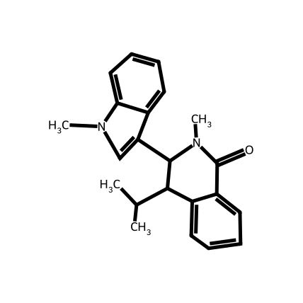 CC(C)C1c2ccccc2C(=O)N(C)C1c1cn(C)c2ccccc12